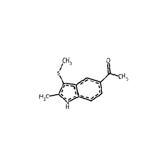 CSc1c(C)[nH]c2ccc(C(C)=O)cc12